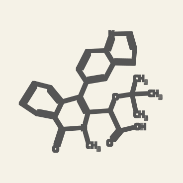 Cn1c(C(OC(C)(C)C)C(=O)O)c(-c2ccc3ncccc3c2)c2ccccc2c1=O